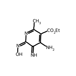 CCOC(=O)C1=C(N)C(=N)/C(=N\O)N=C1C